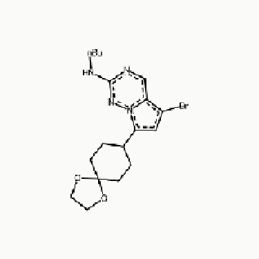 CCCCNc1ncc2c(Br)cc(C3CCC4(CC3)OCCO4)n2n1